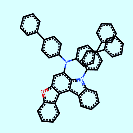 c1ccc(-c2ccc(N(c3ccc(-c4ccccc4)cc3)c3cc4oc5ccccc5c4c4c5ccccc5n(-c5ccc(-c6ccccc6)cc5)c34)cc2)cc1